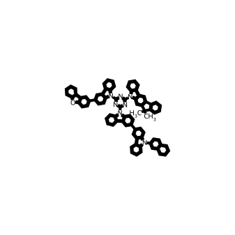 CC1(C)c2ccccc2-c2cc3c4ccccc4n(-c4nc(-n5c6ccccc6c6cc(-c7ccc8oc9ccccc9c8c7)ccc65)nc(-n5c6ccccc6c6cc(-c7ccc8c(c7)c7ccccc7n8-c7ccc8ccccc8c7)ccc65)n4)c3cc21